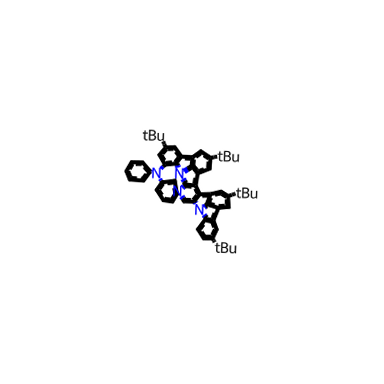 CC(C)(C)c1ccc2c(c1)c1cc(C(C)(C)C)cc3c4c5c6cc(C(C)(C)C)cc7c8cc(C(C)(C)C)cc(N(c9ccccc9)c9ccccc9)c8n(c5ncc4n2c13)c76